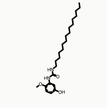 CCCCCCCCCCCCCCCCNC(=O)Nc1cc(O)ccc1OC